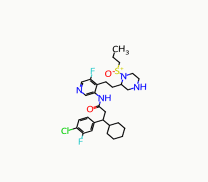 CCC[S+]([O-])N1CCNCC1CCc1c(F)cncc1NC(=O)CC(c1ccc(Cl)c(F)c1)C1CCCCC1